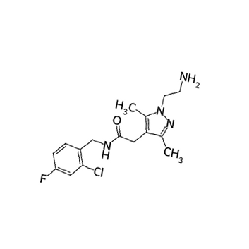 Cc1nn(CCN)c(C)c1CC(=O)NCc1ccc(F)cc1Cl